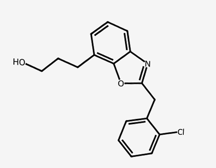 OCCCc1cccc2nc(Cc3ccccc3Cl)oc12